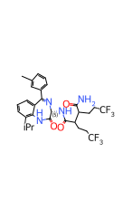 Cc1cccc(C2=N[C@H](NC(=O)C(CCC(F)(F)F)C(CCC(F)(F)F)C(N)=O)C(=O)Nc3c2cccc3C(C)C)c1